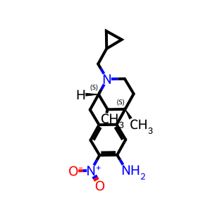 CC1[C@@H]2Cc3cc([N+](=O)[O-])c(N)cc3[C@@]1(C)CCN2CC1CC1